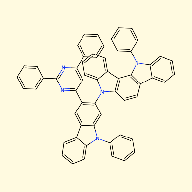 c1ccc(-c2cc(-c3cc4c5ccccc5n(-c5ccccc5)c4cc3-n3c4ccccc4c4c3ccc3c5ccccc5n(-c5ccccc5)c34)nc(-c3ccccc3)n2)cc1